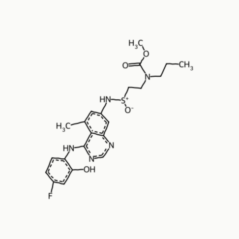 CCCN(CC[S+]([O-])Nc1cc(C)c2c(Nc3ccc(F)cc3O)ncnc2c1)C(=O)OC